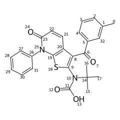 Cc1cccc(C(=O)c2c(N(C(=O)O)C(C)(C)C)sc3c2ccc(=O)n3-c2ccccc2)c1